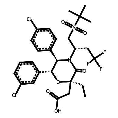 CC[C@]1(CC(=O)O)O[C@H](c2cccc(Cl)c2)[C@@H](c2ccc(Cl)cc2)N([C@@H](CC(F)(F)F)CS(=O)(=O)C(C)(C)C)C1=O